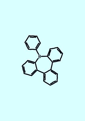 c1ccc(B2c3ccccc3-c3ccccc3-c3ccccc32)cc1